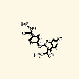 Cc1onc(-c2ccc(Cl)cc2F)c1COc1ccc(C(=O)NC(C)C)cn1